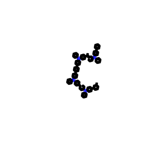 C\C=C/C(=C\C=C(/C)c1ccc(N(c2ccccc2)c2ccc(-c3ccc(-c4ccc(N(c5ccccc5)c5ccc(C/C=C\C(=C/C)N(c6ccccc6)C6C=CC(C7=CC(C)CC=C7)=CC6)cc5)cc4)cc3)cc2)cc1)N(C1=CC=CCC1)c1ccc(-c2ccccc2)cc1